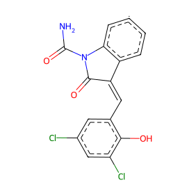 NC(=O)N1C(=O)C(=Cc2cc(Cl)cc(Cl)c2O)c2cc[c]cc21